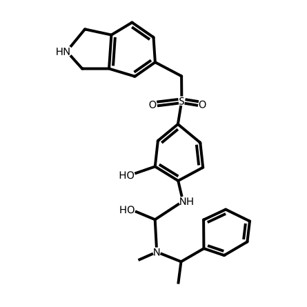 CC(c1ccccc1)N(C)C(O)Nc1ccc(S(=O)(=O)Cc2ccc3c(c2)CNC3)cc1O